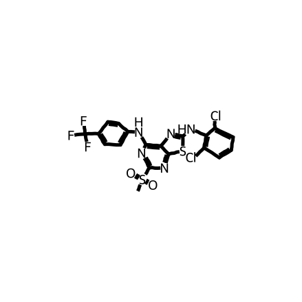 CS(=O)(=O)c1nc(Nc2ccc(C(F)(F)F)cc2)c2nc(Nc3c(Cl)cccc3Cl)sc2n1